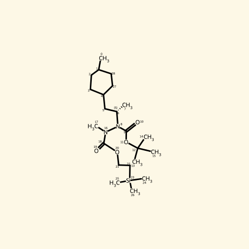 CC1CCC(C[C@H](C)N(C(=O)OC(C)(C)C)N(C)C(=O)OCC[Si](C)(C)C)CC1